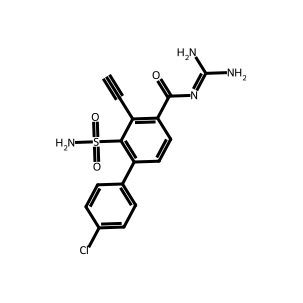 C#Cc1c(C(=O)N=C(N)N)ccc(-c2ccc(Cl)cc2)c1S(N)(=O)=O